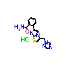 Cl.NC(=O)c1ccccc1-c1cn2c(Cn3cncn3)csc2n1